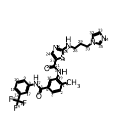 Cc1ccc(C(=O)Nc2cccc(C(F)(F)F)c2)cc1NC(=O)c1cnc(NCCCn2ccnc2)s1